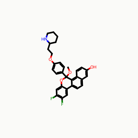 COC1(c2ccc(OCCC3CCCCN3)cc2)Oc2cc(F)c(F)cc2-c2ccc3cc(O)ccc3c21